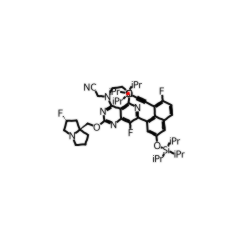 CC(C)[Si](C#Cc1c(F)ccc2cc(O[Si](C(C)C)(C(C)C)C(C)C)cc(-c3nc4c5c(nc(OC[C@@]67CCCN6C[C@H](F)C7)nc5c3F)N(CC#N)CCO4)c12)(C(C)C)C(C)C